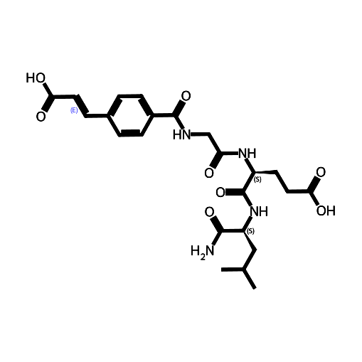 CC(C)C[C@H](NC(=O)[C@H](CCC(=O)O)NC(=O)CNC(=O)c1ccc(/C=C/C(=O)O)cc1)C(N)=O